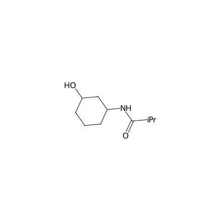 CC(C)C(=O)NC1CCCC(O)C1